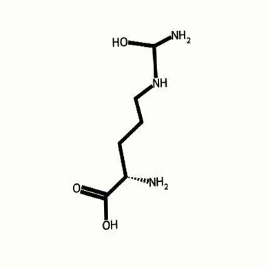 NC(O)NCCC[C@H](N)C(=O)O